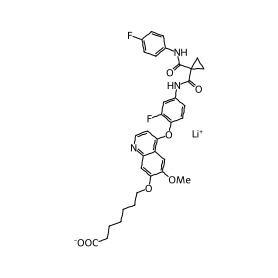 COc1cc2c(Oc3ccc(NC(=O)C4(C(=O)Nc5ccc(F)cc5)CC4)cc3F)ccnc2cc1OCCCCCCC(=O)[O-].[Li+]